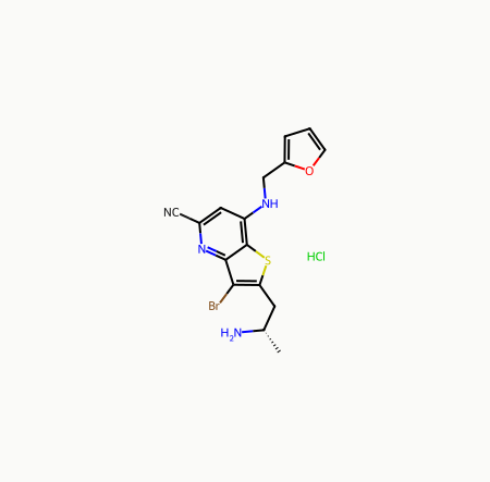 C[C@H](N)Cc1sc2c(NCc3ccco3)cc(C#N)nc2c1Br.Cl